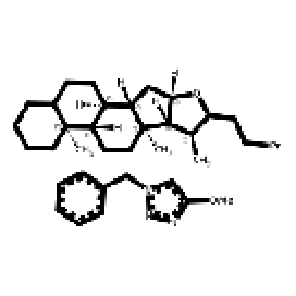 CC(C)CCC1O[C@H]2C[C@H]3[C@@H]4CCC5CCCC[C@]5(C)[C@H]4CC[C@]3(C)[C@H]2[C@@H]1C.COc1cn(Cc2ccccc2)nn1